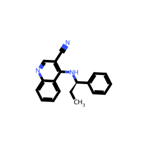 CC[C@@H](Nc1c(C#N)cnc2ccccc12)c1ccccc1